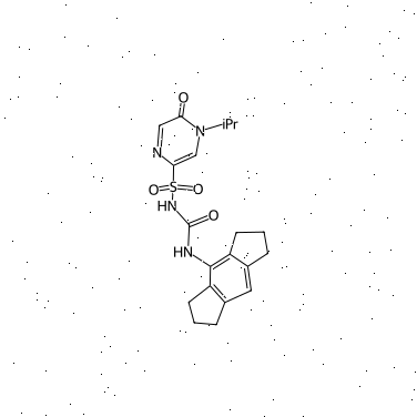 CC(C)n1cc(S(=O)(=O)NC(=O)Nc2c3c(cc4c2CCC4)CCC3)ncc1=O